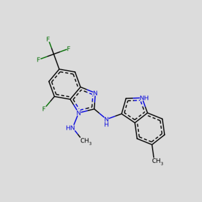 CNn1c(Nc2c[nH]c3ccc(C)cc23)nc2cc(C(F)(F)F)cc(F)c21